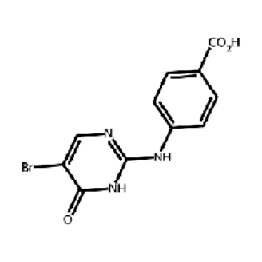 O=C(O)c1ccc(Nc2ncc(Br)c(=O)[nH]2)cc1